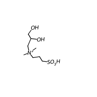 C[N+](C)(CCCS(=O)(=O)O)CC(O)CO